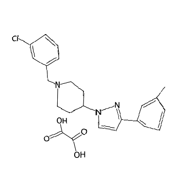 Cc1cccc(-c2ccn(C3CCN(Cc4cccc(Cl)c4)CC3)n2)c1.O=C(O)C(=O)O